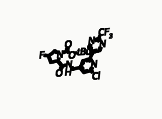 CC(C)(C)OC(=O)N1CC(F)CC1C(=O)NCc1cc(Cl)nc(-c2cnc(C(F)(F)F)nc2)c1